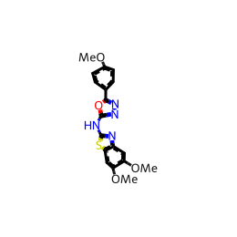 COc1ccc(-c2nnc(Nc3nc4cc(OC)c(OC)cc4s3)o2)cc1